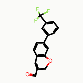 O=CC1=Cc2ccc(-c3cccc(C(F)(F)F)c3)cc2OC1